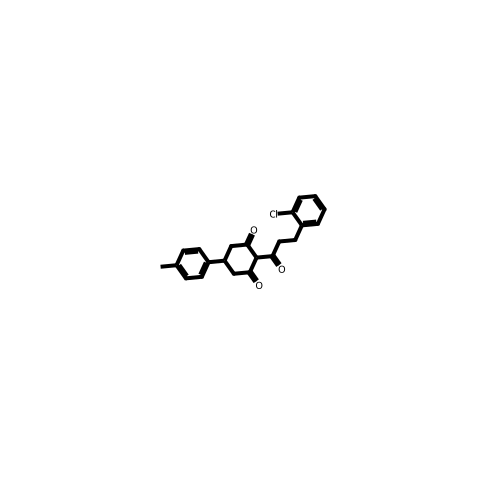 Cc1ccc(C2CC(=O)C(C(=O)CCc3ccccc3Cl)C(=O)C2)cc1